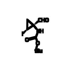 CC(C)(C)OC(=O)N[C@]1(C=O)C[C@H]1I